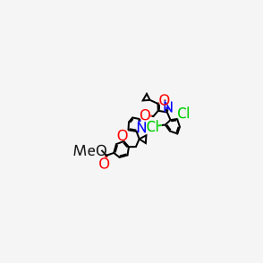 COC(=O)c1ccc2c(c1)Oc1ccc(OCc3c(-c4c(Cl)cccc4Cl)noc3C3CC3)nc1C1(CC1)C2